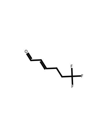 O=CC=CCCC(F)(F)F